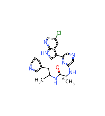 CC(Cc1cccnc1)NC(=O)[C@@H](C)Nc1cncc(-c2c[nH]c3ncc(Cl)cc23)n1